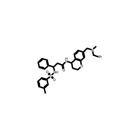 Cc1cccc(S(=O)(=O)NC(CC(=O)NC2CCOc3cc(CN(C)CC(C)C)ccc32)c2ccccc2)c1